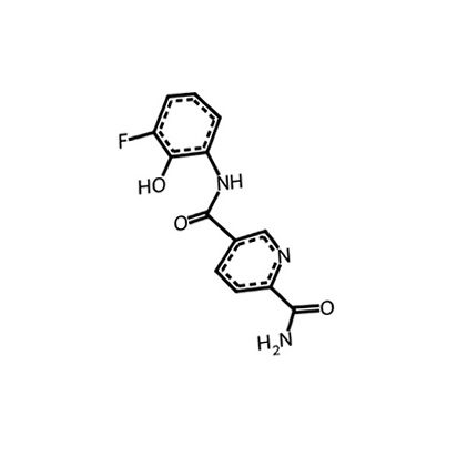 NC(=O)c1ccc(C(=O)Nc2cccc(F)c2O)cn1